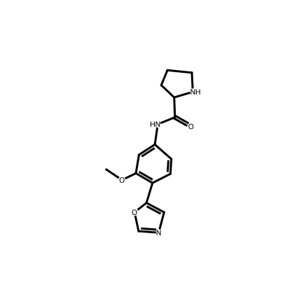 COc1cc(NC(=O)C2CCCN2)ccc1-c1cnco1